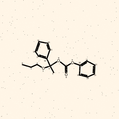 CCCOC(C)(OC(=O)Oc1ccccc1)c1ccccc1